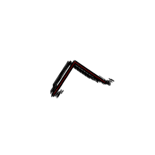 O.O.O.O.O.O.O.O.O.O.O.O.O.O.O.O.O.O.O.O.O.O.O.O.O.O.O.O.O.O.O.O.O.O.O.O.O.O.O.O.O.O.O.O.O.O.O.O.O.O.O.O.O.O.O.O.O.O.O.O.O.O.O.O.O.O.O.O.O.O.[Mg+2].[Mg+2].[Mg+2].[Mg+2].[Mg+2].[Mg+2].[Mg+2].[Mg+2].[Mg+2].[Mg+2].[OH-].[OH-].[OH-].[OH-].[OH-].[OH-].[OH-].[OH-].[OH-].[OH-].[OH-].[OH-].[OH-].[OH-].[OH-].[OH-].[OH-].[OH-].[OH-].[OH-]